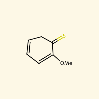 COC1=CC=CCC1=S